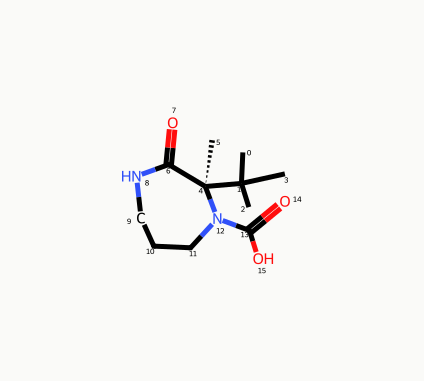 CC(C)(C)[C@]1(C)C(=O)NCCCN1C(=O)O